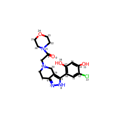 O=C(CN1CCc2n[nH]c(-c3cc(Cl)c(O)cc3O)c2C1)N1CCOCC1